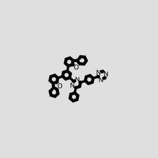 c1ccc(-c2cc(-c3ccc(-c4ncncn4)cc3)nc(-c3cc(-c4cccc5c4oc4ccccc45)cc(-c4cccc5c4oc4ccccc45)c3)n2)cc1